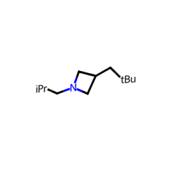 CC(C)CN1CC(CC(C)(C)C)C1